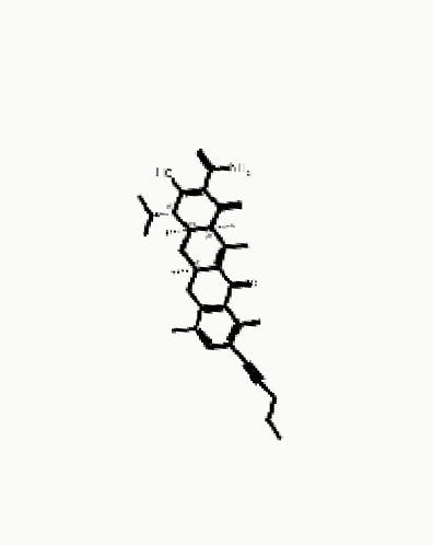 C=C(N)C1=C(O)[C@@H](C(C)C)[C@]2(C)C[C@]3(C)Cc4c(C)cc(C#CCCC)c(C)c4C(=O)C3=C(C)[C@]2(C)C1=C